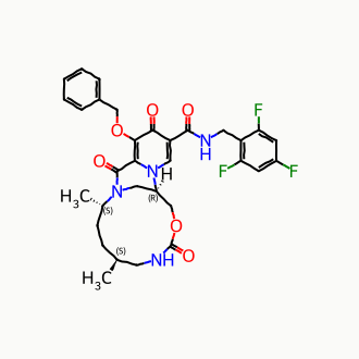 C[C@H]1CC[C@H](C)N2C[C@H](COC(=O)NC1)n1cc(C(=O)NCc3c(F)cc(F)cc3F)c(=O)c(OCc3ccccc3)c1C2=O